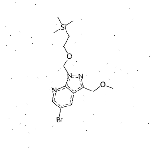 COCc1nn(COCC[Si](C)(C)C)c2ncc(Br)cc12